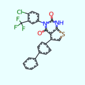 O=c1[nH]c2scc(-c3ccc(-c4ccccc4)cc3)c2c(=O)n1-c1ccc(Cl)c(C(F)(F)F)c1